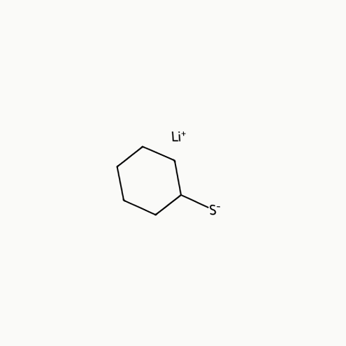 [Li+].[S-]C1CCCCC1